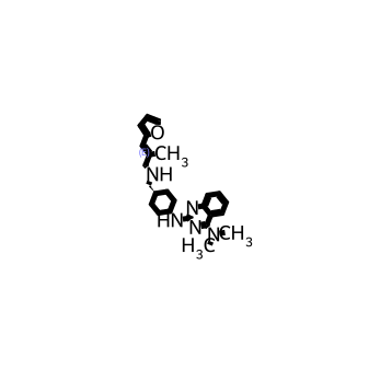 C/C(=C\c1ccco1)CNC[C@H]1CC[C@@H](Nc2nc(N(C)C)c3ccccc3n2)CC1